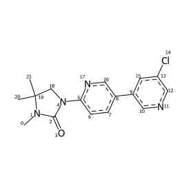 CN1C(=O)N(c2ccc(-c3cncc(Cl)c3)cn2)CC1(C)C